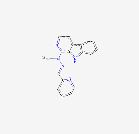 O=CN(N=Cc1ccccn1)c1nccc2c1[nH]c1ccccc12